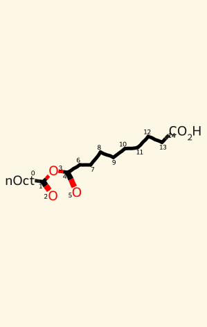 CCCCCCCCC(=O)OC(=O)CCCCCCCCC(=O)O